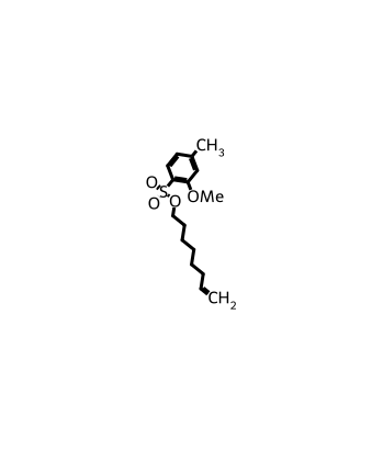 C=CCCCCCCOS(=O)(=O)c1ccc(C)cc1OC